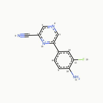 N#Cc1cncc(-c2ccc(N)c(F)c2)n1